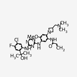 C=CC(=O)Nc1cc(Nc2ncnc(Nc3cc(Cl)c(F)cc3C(C)(C)O)n2)c(OC)cc1N1CC(CN(C)C)C1